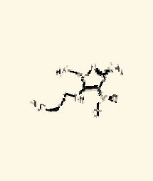 [CH2]CCNc1c([N+](=O)[O-])c(C)nn1C